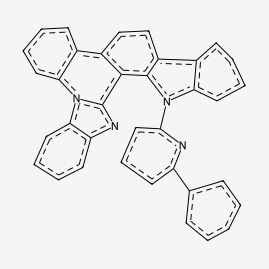 c1ccc(-c2cccc(-n3c4ccccc4c4ccc5c6ccccc6n6c7ccccc7nc6c5c43)n2)cc1